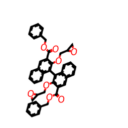 O=C(OCc1ccccc1)c1cc2ccccc2c(-c2c(OCC3CO3)c(C(=O)OCc3ccccc3)cc3ccccc23)c1OCC1CO1